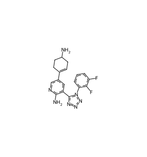 Nc1ncc(C2=CCC(N)CC2)cc1-c1nnnn1-c1cccc(F)c1F